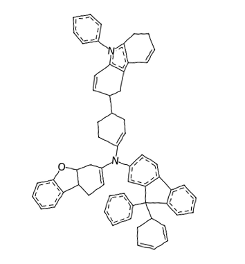 C1=CCC(C2(c3ccccc3)c3ccccc3-c3ccc(N(C4=CCC(C5C=Cc6c(c7c(n6-c6ccccc6)CCC=C7)C5)CC4)C4=CCC5c6ccccc6OC5C4)cc32)C=C1